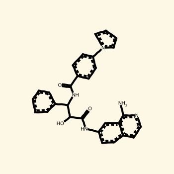 Nc1nccc2ccc(NC(=O)C(O)C(NC(=O)c3ccc(-n4cccc4)cc3)c3ccccc3)cc12